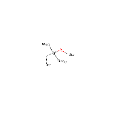 CO[Si](CC(C)C)(OC)OC(C)(C)C